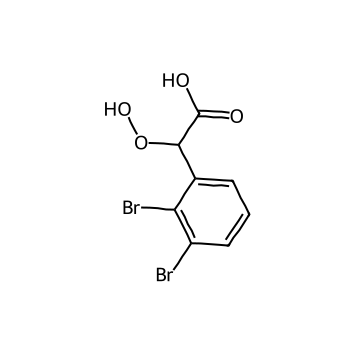 O=C(O)C(OO)c1cccc(Br)c1Br